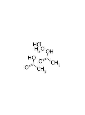 CC(=O)O.CC(=O)O.Cl.O